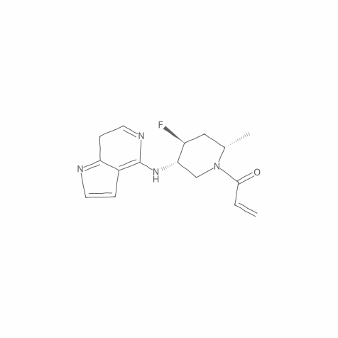 C=CC(=O)N1C[C@H](NC2=C3C=CN=C3CC=N2)[C@@H](F)C[C@@H]1C